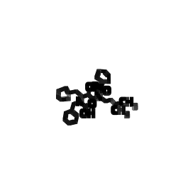 CC(C)CCN(CC(O)C(Cc1ccccc1)N(Cc1ccccc1)C(=O)O)S(=O)(=O)c1ccccc1